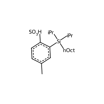 CCCCCCCC[Si](c1cc(C)ccc1S(=O)(=O)O)(C(C)C)C(C)C